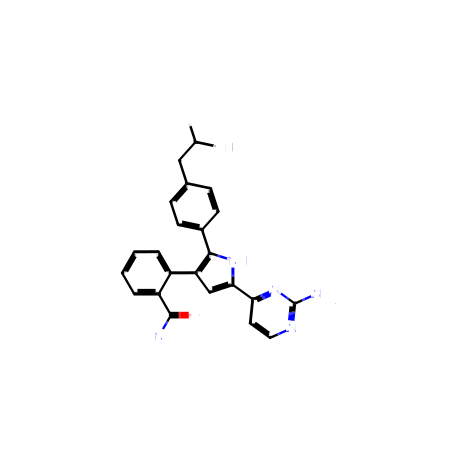 CC(C)Cc1ccc(-c2[nH]c(-c3ccnc(N)n3)cc2-c2ccccc2C(N)=O)cc1